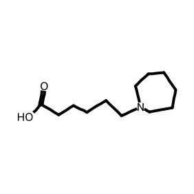 O=C(O)CCCCCN1CCCCCC1